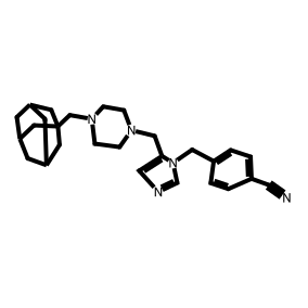 N#Cc1ccc(Cn2cncc2CN2CCN(CC34CC5CC(CC(C5)C3)C4)CC2)cc1